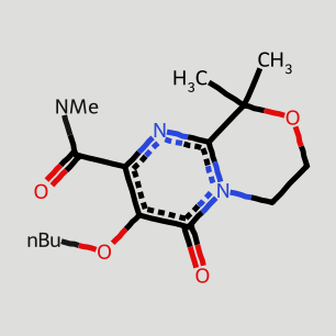 CCCCOc1c(C(=O)NC)nc2n(c1=O)CCOC2(C)C